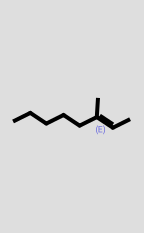 C/C=C(\C)CCCCC